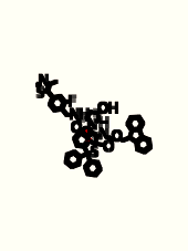 Cc1ncsc1-c1ccc(CNC(=O)[C@@H]2C[C@@H](O)CN2C(=O)[C@@H](NC(=O)OCC2c3ccccc3-c3ccccc32)C(C)(C)SC(c2ccccc2)(c2ccccc2)c2ccccc2)c(F)c1